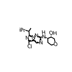 CC(C)C(C)c1nc(Cl)c2cnc(N[C@@H]3CCOC[C@H]3O)nn12